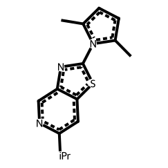 Cc1ccc(C)n1-c1nc2cnc(C(C)C)cc2s1